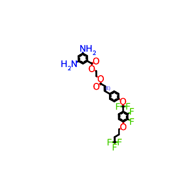 Nc1cc(N)cc(C(=O)OCCOC(=O)/C=C/c2ccc(OC(F)(F)c3ccc(OCCCC(F)(F)F)c(F)c3F)cc2)c1